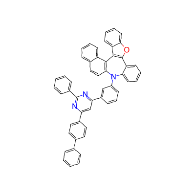 c1ccc(-c2ccc(-c3cc(-c4cccc(N5c6ccccc6-c6oc7ccccc7c6-c6c5ccc5ccccc65)c4)nc(-c4ccccc4)n3)cc2)cc1